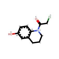 O=C(CCl)N1CCCc2cc(O)ccc21